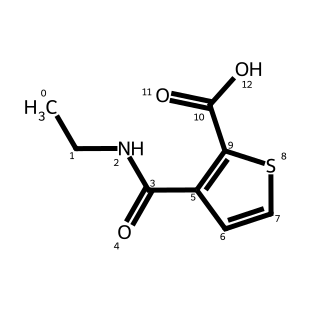 CCNC(=O)c1ccsc1C(=O)O